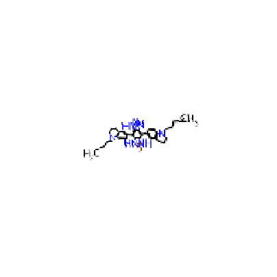 CCCCCN1CCCc2cc(-c3c4c(c(-c5ccc6c(c5)CCCN6CCCCC)c5[nH]nnc35)NSN4)ccc21